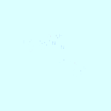 CC(=O)c1ccn(C(=O)N2CCN(Cc3cc(F)cc(Oc4ccccc4Cl)c3)C[C@@H]2C)n1